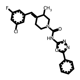 CC1CN(C(=O)Nc2nnc(-c3ccccc3)o2)CCC1=Cc1cc(F)cc(Cl)c1